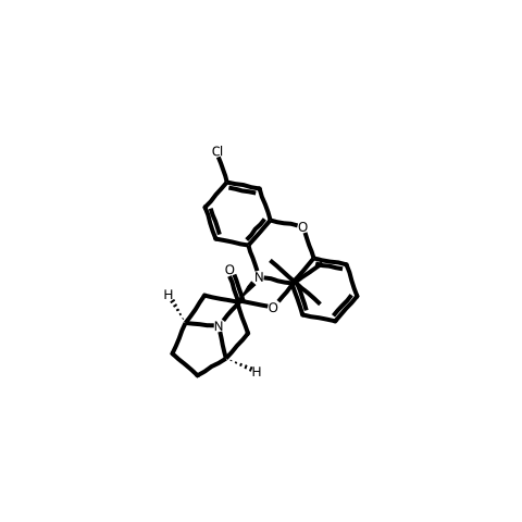 CC(C)(C)OC(=O)N1[C@@H]2CC[C@H]1C[C@@H](N1c3ccccc3Oc3cc(Cl)ccc31)C2